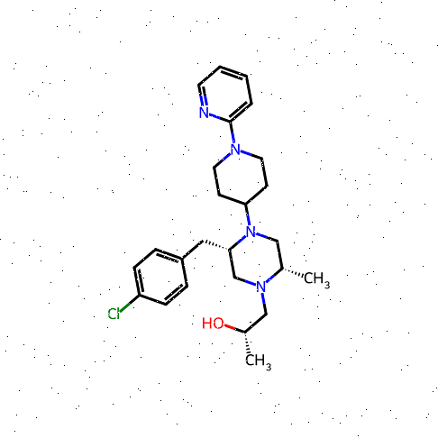 C[C@H](O)CN1C[C@H](Cc2ccc(Cl)cc2)N(C2CCN(c3ccccn3)CC2)C[C@@H]1C